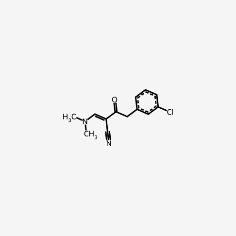 CN(C)C=C(C#N)C(=O)Cc1cccc(Cl)c1